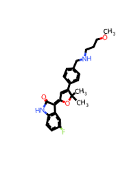 COCCCNCc1ccc(C2=C/C(=C3\C(=O)Nc4ccc(F)cc43)OC2(C)C)cc1